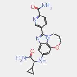 NC(=O)c1ccc(-c2nc3cc(N[C@H](C(N)=O)C4CC4)cc4c3n2CCCO4)cn1